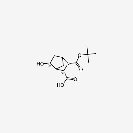 CC(C)(C)OC(=O)N1C2CC([C@H]1C(=O)O)[C@@H](O)C2